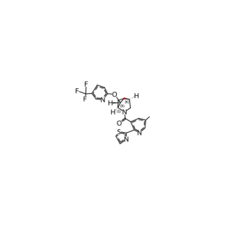 Cc1cnc(-c2nccs2)c(C(=O)N2C[C@@H]3CC[C@H]2[C@H](Oc2ccc(C(F)(F)F)cn2)C3)c1